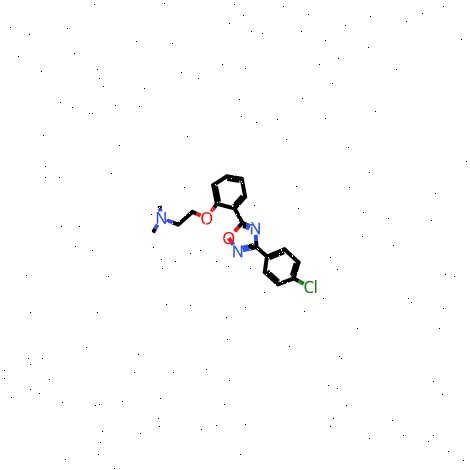 CN(C)CCOc1ccccc1-c1nc(-c2ccc(Cl)cc2)no1